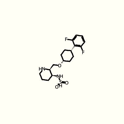 O=[SH](=O)N[C@H]1CCCN[C@H]1CO[C@H]1CC[C@@H](c2c(F)cccc2F)CC1